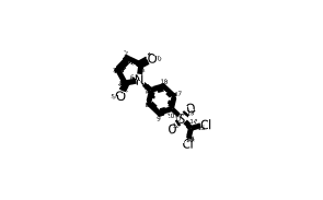 O=C1C=CC(=O)N1c1ccc(S(=O)(=O)C(Cl)Cl)cc1